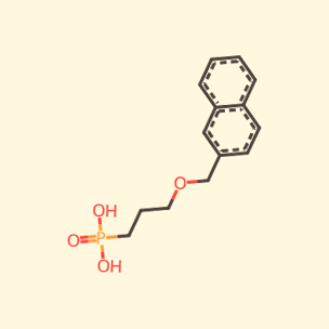 O=P(O)(O)CCCOCc1ccc2ccccc2c1